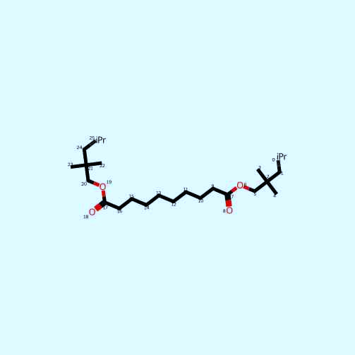 CC(C)CC(C)(C)COC(=O)CCCCCCCCC(=O)OCC(C)(C)CC(C)C